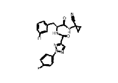 N#CC1(NC(=O)[C@H](Cc2cccc(Cl)c2)NC(=O)c2cnn(-c3ccc(F)cc3)n2)CC1